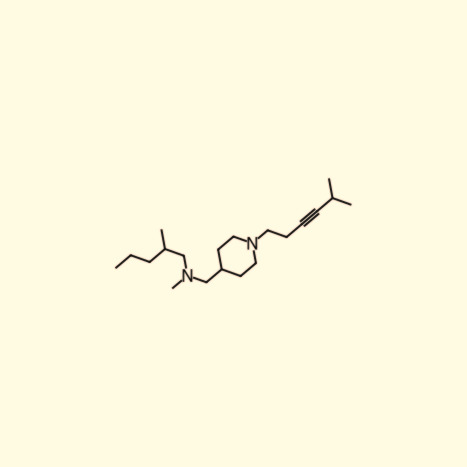 CCCC(C)CN(C)CC1CCN(CCC#CC(C)C)CC1